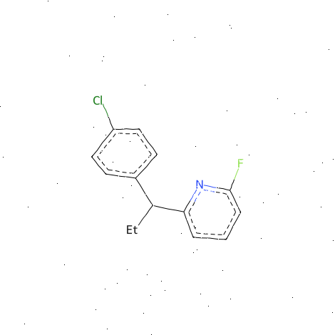 CCC(c1ccc(Cl)cc1)c1cccc(F)n1